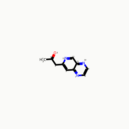 CC(=O)Cc1cc2nccnc2cn1